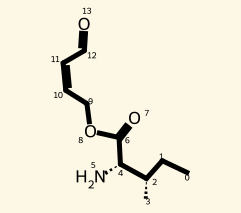 CC[C@H](C)[C@H](N)C(=O)OC/C=C\C=O